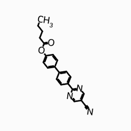 CCCCC(=O)Oc1ccc(-c2ccc(-c3ncc(C#N)cn3)cc2)cc1